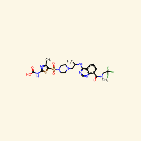 Cc1nc(NC(=O)O)sc1S(=O)(=O)N1CCN(CC(C)Nc2ncnc3c(C(=O)N(C)CC(F)(F)F)cccc23)CC1